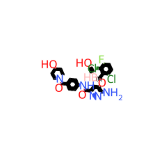 Nc1nnc(C(=O)Nc2ccc(C(=O)N3CCC(O)CC3)cc2)cc1O[C@H](BC#CO)c1c(Cl)ccc(F)c1Cl